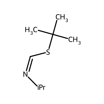 CC(C)/N=C\SC(C)(C)C